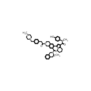 C[C@@H]1Cc2ccccc2CN1C(=O)c1cc2c(cc1-c1cc(C(=O)N(C)c3ccc(O)cc3)c3n1CCCC3)CCN(C(=O)Cc1ccc(CN3CCN(C)CC3)cc1)C2